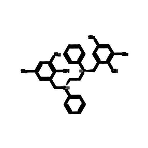 CC(C)(C)c1cc(C[P@@](CC[P@@](Cc2cc(C(C)(C)C)cc(C(C)(C)C)c2O)c2ccccc2)c2ccccc2)c(O)c(C(C)(C)C)c1